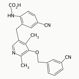 Cc1ncc(Cc2cc(C#N)ccc2NC(=O)O)c(C)c1OCc1cccc(C#N)c1